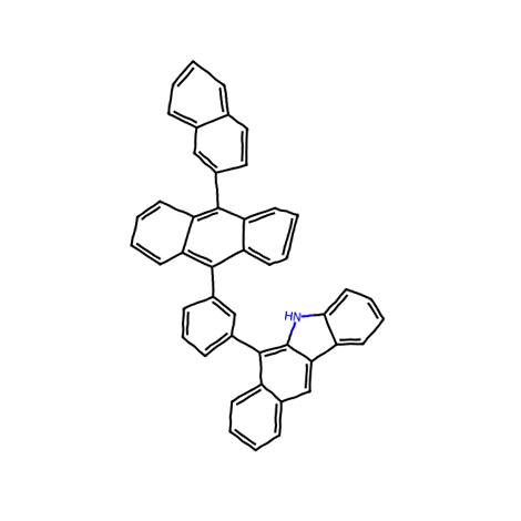 c1cc(-c2c3ccccc3c(-c3ccc4ccccc4c3)c3ccccc23)cc(-c2c3ccccc3cc3c2[nH]c2ccccc23)c1